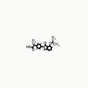 CC(C)Oc1cccc2c1C(=O)N(c1ccc(C(C)C(=O)O)cc1)C2